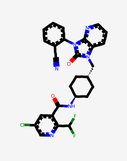 N#Cc1ccccc1-n1c(=O)n(C[C@H]2CC[C@H](NC(=O)c3cc(Cl)cnc3C(F)F)CC2)c2cccnc21